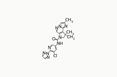 Cc1cn2ncc3c(c2n1)C(C)(C)CN3C(=O)Nc1cnc(-n2nccn2)c(Cl)c1